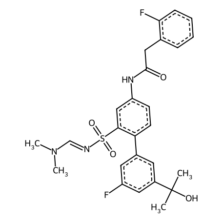 CN(C)C=NS(=O)(=O)c1cc(NC(=O)Cc2ccccc2F)ccc1-c1cc(F)cc(C(C)(C)O)c1